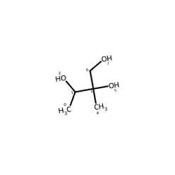 CC(O)C(C)(O)[CH]O